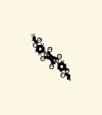 C=CC(=O)Oc1ccc(N2C(=O)C3C(C2=O)C2C(=O)N(c4ccc(OC(=O)C=C)cc4)C(=O)C32)cc1